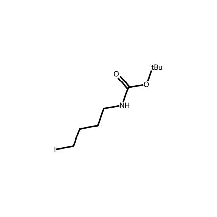 CC(C)(C)OC(=O)NCCCCI